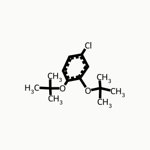 CC(C)(C)Oc1ccc(Cl)cc1OC(C)(C)C